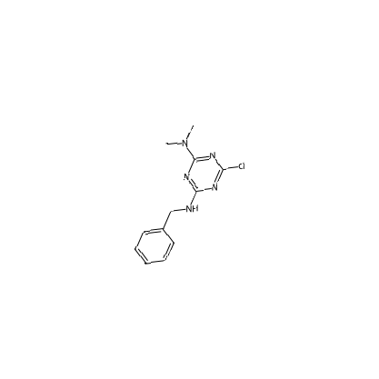 CN(C)c1nc(Cl)nc(NCc2ccccc2)n1